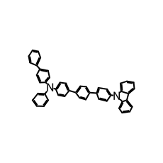 c1ccc(-c2ccc(N(c3ccccc3)c3ccc(-c4ccc(-c5ccc(-n6c7ccccc7c7ccccc76)cc5)cc4)cc3)cc2)cc1